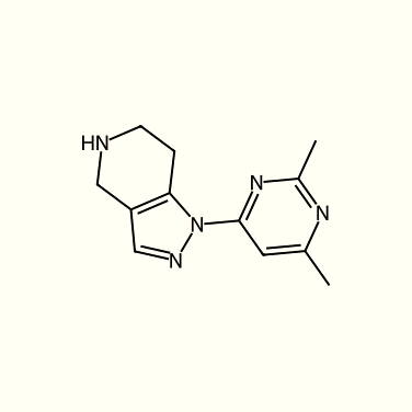 Cc1cc(-n2ncc3c2CCNC3)nc(C)n1